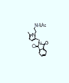 CC(=O)NCCn1c(C)ccc1CN1C(=O)c2ccccc2C1=O